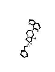 c1ccc(CO[C@@H]2C[C@H]3CN(c4nccc5ccsc45)CCN3C2)cc1